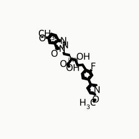 COc1ccc2nnn(CC[C@H](C(=O)O)[C@H](O)CCc3ccc(-c4ccc(OC)nc4)cc3F)c(=O)c2c1